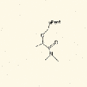 CCCCCCOC(C)C(=O)N(C)C